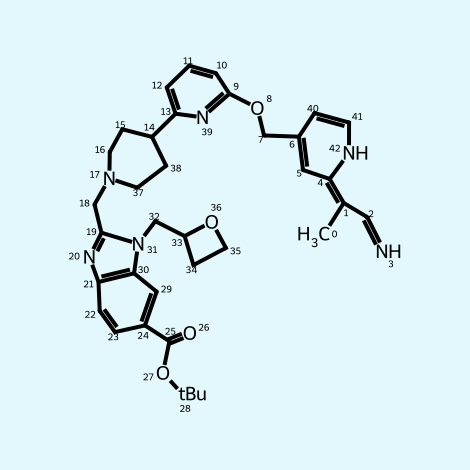 C/C(C=N)=C1\C=C(COc2cccc(C3CCN(Cc4nc5ccc(C(=O)OC(C)(C)C)cc5n4CC4CCO4)CC3)n2)C=CN1